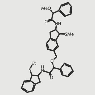 CCSC1c2ccccc2CC1NC(=O)[C@@H](OCc1ccc2c(c1)C(SC)C(NC(=O)[C@@H](OC)c1ccccc1)C2)c1ccccc1